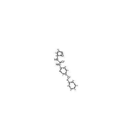 O=C(Nc1ccc(OCc2ccccc2)cc1)Nc1ccno1